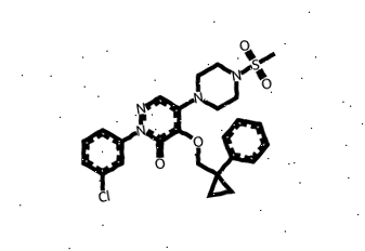 CS(=O)(=O)N1CCN(c2cnn(-c3cccc(Cl)c3)c(=O)c2OCC2(c3ccccc3)CC2)CC1